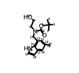 CC(C)(C)OC(=O)N(CCO)Cc1cc(F)cc2cc[nH]c12